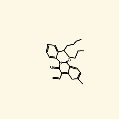 C=CC1=C2CC(C)=CC=C2C(=O)N(c2ccccc2C(CCCC)CCCC)C1=O